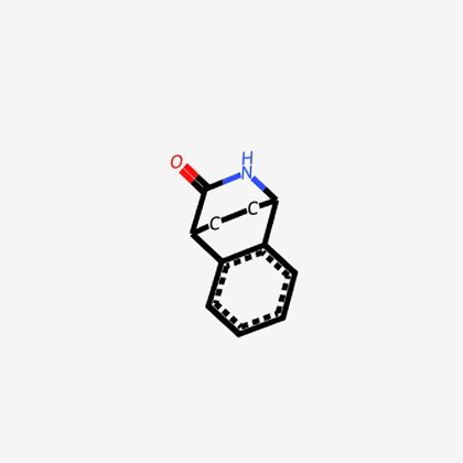 O=C1NC2CCC1c1ccccc12